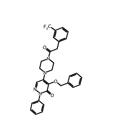 O=C(Cc1cccc(C(F)(F)F)c1)N1CCN(c2cnn(-c3ccccc3)c(=O)c2OCc2ccccc2)CC1